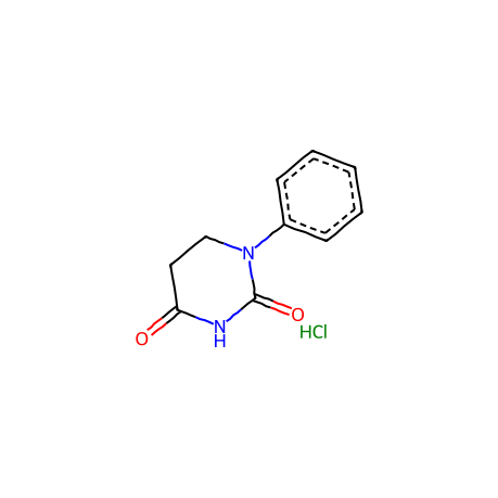 Cl.O=C1CCN(c2ccccc2)C(=O)N1